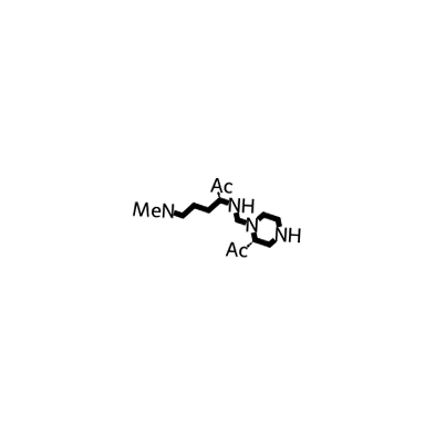 CNCCC[C@@H](NCN1CCNC[C@@H]1C(C)=O)C(C)=O